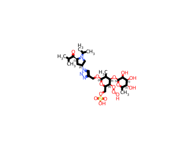 CC(C)C(=O)[C@@H]1C[C@@H](n2cc(CO[C@@H]3OC(COS(=O)(=O)O)[C@H](OOO)[C@H](O[C@@H]4OC(C)[C@@H](O)[C@H](O)C4O)C3C)nn2)CN1C(C)C